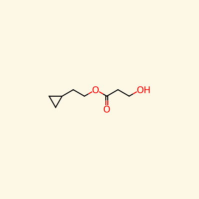 O=C(CCO)OCCC1CC1